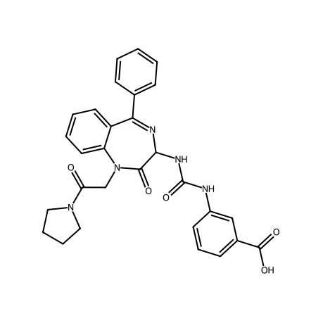 O=C(Nc1cccc(C(=O)O)c1)NC1N=C(c2ccccc2)c2ccccc2N(CC(=O)N2CCCC2)C1=O